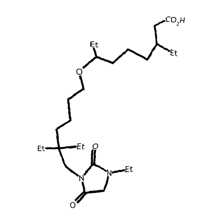 CCC(CCCC(CC)OCCCCC(CC)(CC)CN1C(=O)CN(CC)C1=O)CC(=O)O